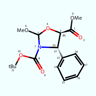 COC(=O)[C@@H]1OC(OC)N(C(=O)OC(C)(C)C)[C@H]1c1ccccc1